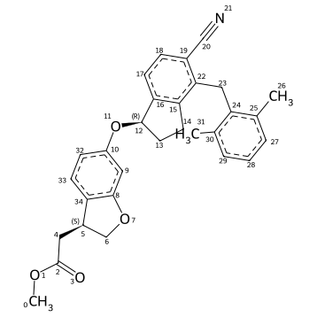 COC(=O)C[C@@H]1COc2cc(O[C@@H]3CCc4c3ccc(C#N)c4Cc3c(C)cccc3C)ccc21